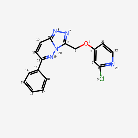 Clc1cc(OCc2nnc3ccc(-c4ccccc4)nn23)ccn1